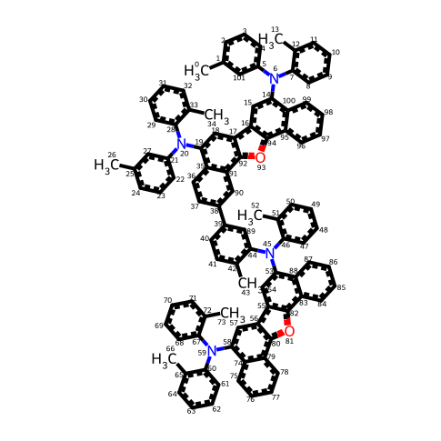 Cc1cccc(N(c2ccccc2C)c2cc3c4cc(N(c5cccc(C)c5)c5ccccc5C)c5ccc(-c6ccc(C)c(N(c7ccccc7C)c7cc8c9cc(N(c%10ccccc%10C)c%10ccccc%10C)c%10ccccc%10c9oc8c8ccccc78)c6)cc5c4oc3c3ccccc23)c1